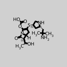 C[C@@H](O)[C@H]1C(=O)N2C(OC(=O)O)=C(S[C@@H]3CN[C@H](CC(C)(C)N)C3)C[C@H]12